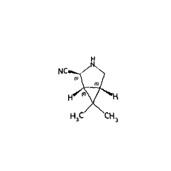 CC1(C)[C@@H]2[C@@H](C#N)NC[C@@H]21